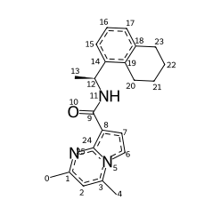 Cc1cc(C)n2ccc(C(=O)N[C@@H](C)c3cccc4c3CCCC4)c2n1